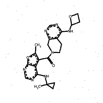 Cc1oc2ncnc(NC3(C)CC3)c2c1C(=O)N1CCc2c(ncnc2NC2CCO2)C1